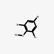 N#COc1c(Br)cc(Br)cc1Br